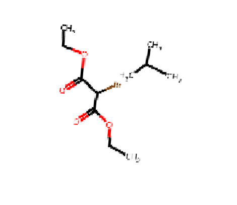 CC(C)C.CCOC(=O)C(Br)C(=O)OCC